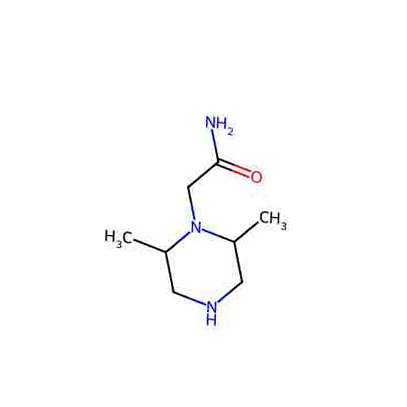 CC1CNCC(C)N1CC(N)=O